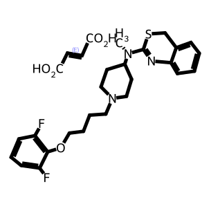 CN(C1=Nc2ccccc2CS1)C1CCN(CCCCOc2c(F)cccc2F)CC1.O=C(O)/C=C/C(=O)O